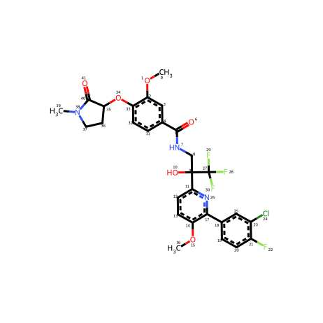 COc1cc(C(=O)NCC(O)(c2ccc(OC)c(-c3ccc(F)c(Cl)c3)n2)C(F)(F)F)ccc1OC1CCN(C)C1=O